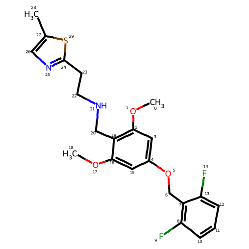 COc1cc(OCc2c(F)cccc2F)cc(OC)c1CNCCc1ncc(C)s1